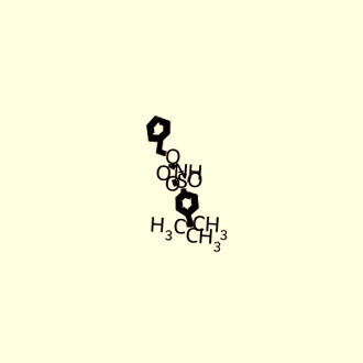 CC(C)(C)c1ccc(S(=O)(=O)NC(=O)OCc2ccccc2)cc1